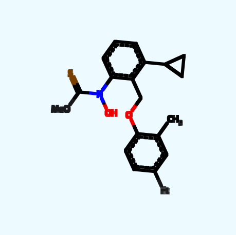 CCc1ccc(OCc2c(C3CC3)cccc2N(O)C(=S)OC)c(C)c1